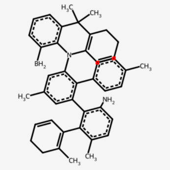 Bc1cccc2c1N(c1cc(C)cc(-c3c(N)ccc(C)c3C3=C(C)CCC=C3)c1-c1ccc(C)cc1)C1=C(CCC=C1)C2(C)C